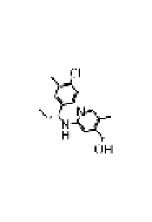 CC[C@@H](Nc1cc(CO)c(C)cn1)c1ccc(Cl)c(C)c1